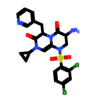 NC1CN(S(=O)(=O)c2ccc(Cl)cc2Cl)C2=CN(C3CC3)C(=O)C(Cc3cccnc3)N2C1=O